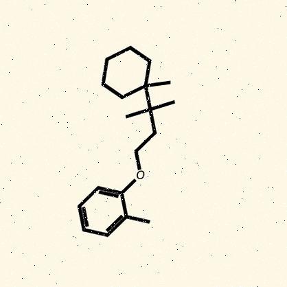 Cc1ccccc1OCCC(C)(C)C1(C)CCCCC1